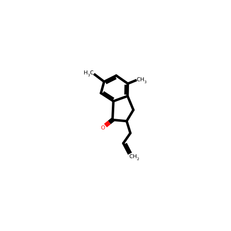 C=CCC1Cc2c(C)cc(C)cc2C1=O